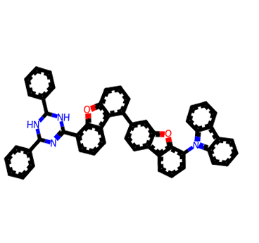 c1ccc(C2N=C(c3cccc4c3oc3cccc(-c5ccc6c(c5)oc5c(-n7c8ccccc8c8ccccc87)cccc56)c34)NC(c3ccccc3)N2)cc1